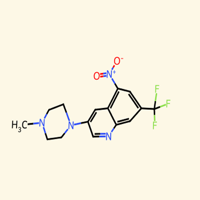 CN1CCN(c2cnc3cc(C(F)(F)F)cc([N+](=O)[O-])c3c2)CC1